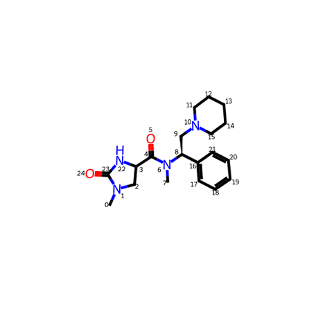 CN1CC(C(=O)N(C)[C@@H](CN2CCCCC2)c2ccccc2)NC1=O